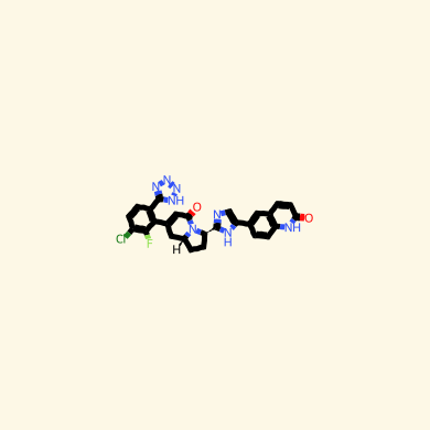 O=C1C=C(c2c(-c3nnn[nH]3)ccc(Cl)c2F)C[C@@H]2CC[C@@H](c3ncc(-c4ccc5[nH]c(=O)ccc5c4)[nH]3)N12